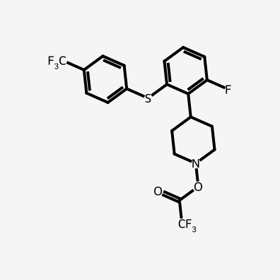 O=C(ON1CCC(c2c(F)cccc2Sc2ccc(C(F)(F)F)cc2)CC1)C(F)(F)F